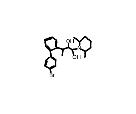 CC(c1ccccc1-c1ccc(Br)cc1)C(O)C(O)N1C(C)CCCC1C